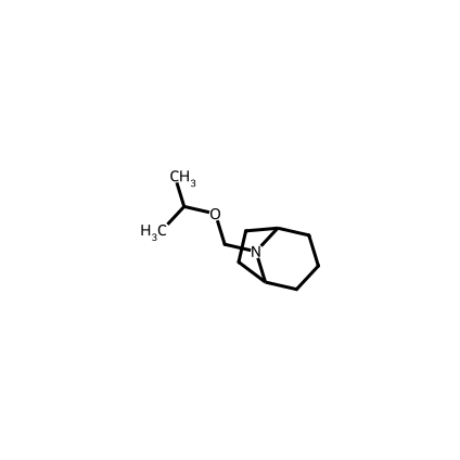 CC(C)OCN1C2CCCC1CC2